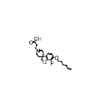 C=CCCCCOc1ccc2c(c1F)OCC21CCN(CCC(=O)O)CC1